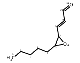 CCCCCC1OC1C=CC=O